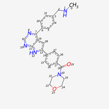 CNCc1ccc(-c2ncnc3[nH]c(-c4ccc(C(=O)N5CCOCC5)cc4)cc23)cc1